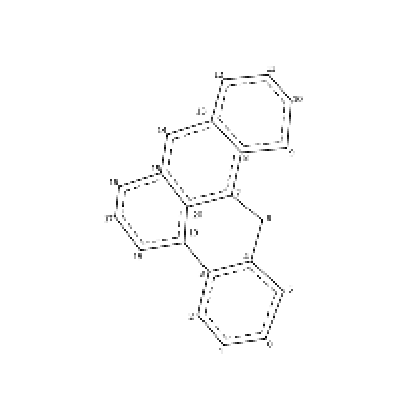 c1ccc2c(c1)Cc1c3ccccc3cc3cccc-2c13